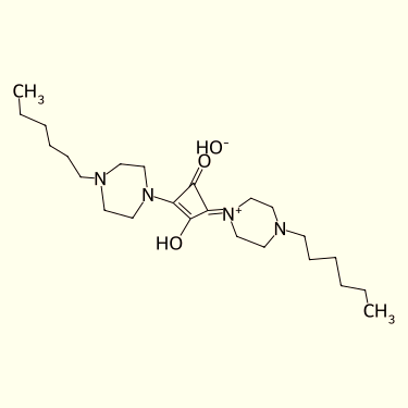 CCCCCCN1CCN(c2c(O)c(=[N+]3CCN(CCCCCC)CC3)c2=O)CC1.[OH-]